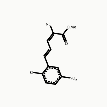 COC(=O)C(C#N)=CC=Cc1cc([N+](=O)[O-])ccc1Cl